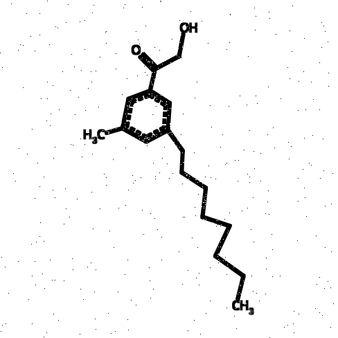 CCCCCCCCc1cc(C)cc(C(=O)CO)c1